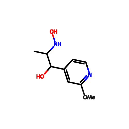 COc1cc(C(O)C(C)NO)ccn1